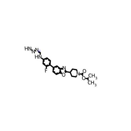 CC(C)OC(=O)N1CCC(c2nc3cc(-c4ccc(N/C=N\N=N)cc4F)ccc3o2)CC1